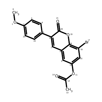 COc1ccc(-c2cc3cc(OC(C)=O)cc(Br)c3oc2=O)cc1